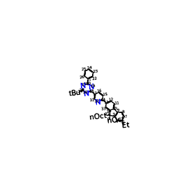 CCCCCCCCC1(CCCCCCCC)c2cc(CC)ccc2-c2ccc(-c3ccc(-c4nc(-c5ccccc5)nc(C(C)(C)C)n4)cn3)cc21